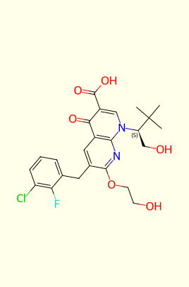 CC(C)(C)[C@@H](CO)n1cc(C(=O)O)c(=O)c2cc(Cc3cccc(Cl)c3F)c(OCCO)nc21